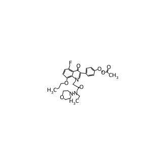 CCCOc1ccc(F)c2c(=O)c(-c3ccc(OOC(C)=O)cc3)cn(CC(=O)N(CC)N3CCOCC3)c12